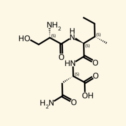 CC[C@H](C)[C@H](NC(=O)[C@@H](N)CO)C(=O)N[C@@H](CC(N)=O)C(=O)O